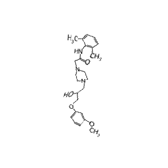 COc1cccc(OCC(O)CN2CCN(CC(=O)Nc3c(C)cccc3C)CC2)c1